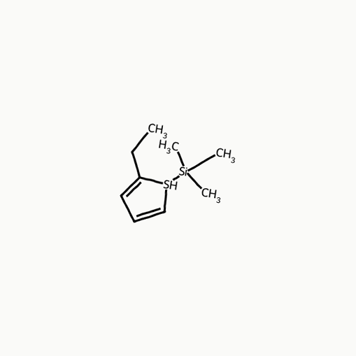 CCC1=CC=C[SH]1[Si](C)(C)C